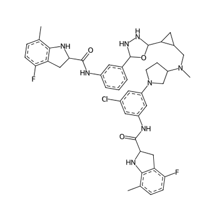 Cc1ccc(F)c2c1NC(C(=O)Nc1cccc(C3NNC(C4CC4CN(C)C4CCN(c5cc(Cl)cc(NC(=O)C6Cc7c(F)ccc(C)c7N6)c5)C4)O3)c1)C2